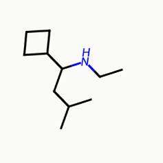 CCNC(CC(C)C)C1CCC1